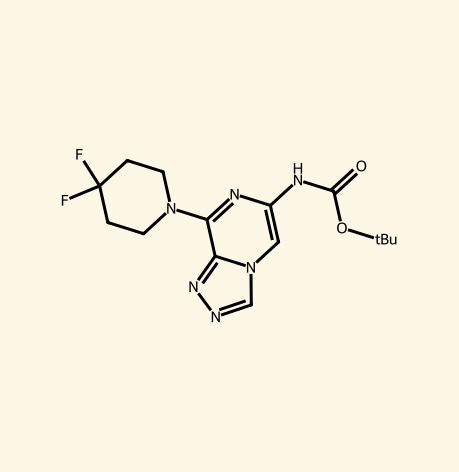 CC(C)(C)OC(=O)Nc1cn2cnnc2c(N2CCC(F)(F)CC2)n1